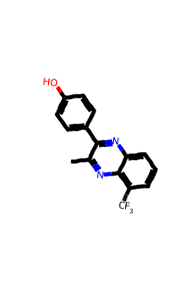 Cc1nc2c(C(F)(F)F)cccc2nc1-c1ccc(O)cc1